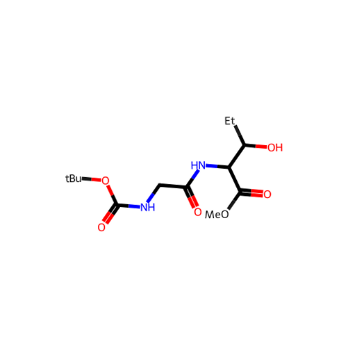 CCC(O)C(NC(=O)CNC(=O)OC(C)(C)C)C(=O)OC